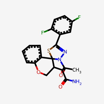 CC(=O)N1N=C(c2cc(F)ccc2F)SC12c1ccccc1OCC2CC(N)=O